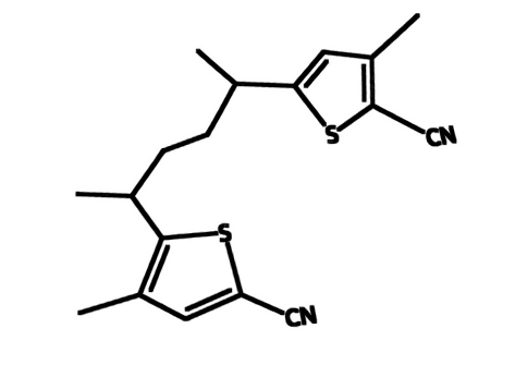 Cc1cc(C(C)CCC(C)c2sc(C#N)cc2C)sc1C#N